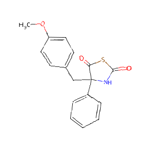 COc1ccc(CC2(c3ccccc3)NC(=O)SC2=O)cc1